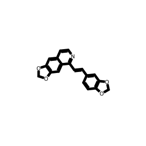 C(=Cc1nccc2cc3c(cc12)OCO3)c1ccc2c(c1)OCO2